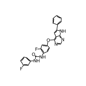 O=C(Nc1cccc(F)c1)Nc1ccc(Oc2ncnc3[nH]c(-c4ccccc4)cc23)cc1F